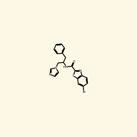 O=C(NC(Cc1ccccc1)Cn1ccnc1)c1nc2ccc(Br)cc2s1